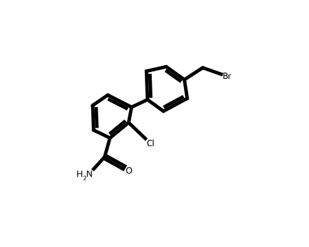 NC(=O)c1cccc(-c2ccc(CBr)cc2)c1Cl